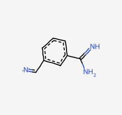 [N]=Cc1cccc(C(=N)N)c1